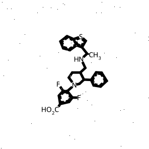 C[C@@H](NCC1CCN(c2c(F)cc(C(=O)O)cc2F)CC1c1ccccc1)c1csc2ccccc12